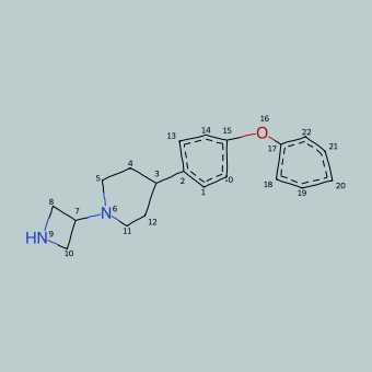 [c]1cc(C2CCN(C3CNC3)CC2)ccc1Oc1ccccc1